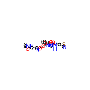 Cc1ncsc1-c1ccc([C@H](C)NC(=O)[C@@H]2CCCN2C(=O)C(NC(=O)COCCOc2ccc(-c3ccc(C(=O)NC4C(C)(C)CC4(C)C)cc3)cn2)C(C)(C)C)cc1